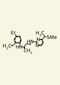 C=Cc1cc(CC)ccc1NC(=C)CCNc1nccc(C(C)SC)n1